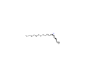 CCCCCCCCCCCC/C=C\C=CC=O